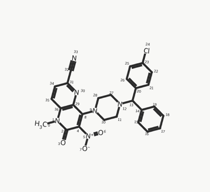 Cn1c(=O)c([N+](=O)[O-])c(N2CCN(C(c3ccccc3)c3ccc(Cl)cc3)CC2)c2nc(C#N)ccc21